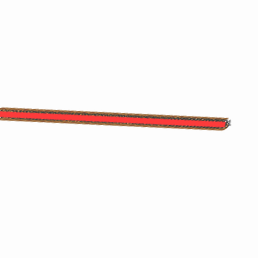 S=S=S=S=S=S=S=S=S=S=S=S=S=S=S=S=S=S=S=S=S=S=S=S=S=S=S=S=S=S=S=S=S=S=S=S=S=S=S=S=S=S=S=S=S=S=S=S=S=S=S=S=S=S=S=S=S=S=S=S=S=S=S=S=S=S=S=S=S=S=S=S=S=S=S=S=S=S=S=S=S=S=S=S=S=S=S=S=S=S=S=S=S=S=S=S=S=S=S=S=S=S=S=S=S=S=S=S=S=S=S=S=S=S=S=S=S=S=S=S=S=S=S=S=S=S=S=S=S=S=S=S